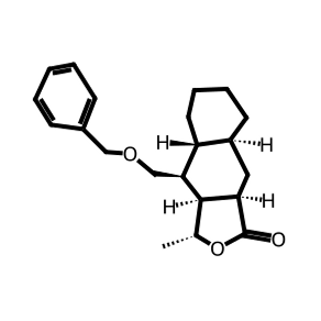 C[C@H]1OC(=O)[C@@H]2C[C@@H]3CCCC[C@H]3[C@H](COCc3ccccc3)[C@H]12